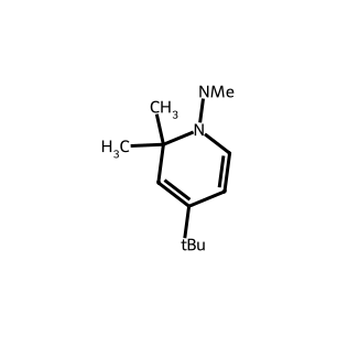 CNN1C=CC(C(C)(C)C)=CC1(C)C